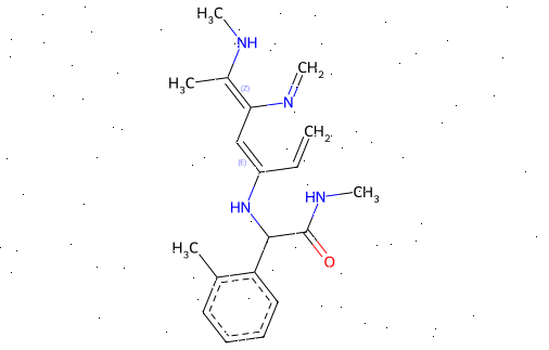 C=C/C(=C\C(N=C)=C(/C)NC)NC(C(=O)NC)c1ccccc1C